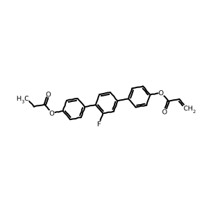 C=CC(=O)Oc1ccc(-c2ccc(-c3ccc(OC(=O)CC)cc3)c(F)c2)cc1